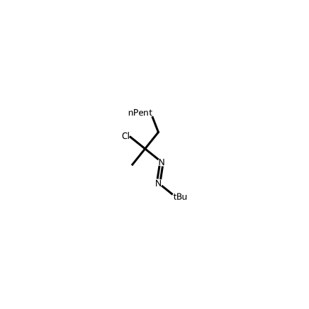 CCCCCCC(C)(Cl)/N=N/C(C)(C)C